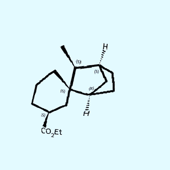 CCOC(=O)[C@H]1CCC[C@]2(C1)[C@@H]1CC[C@@H](C1)[C@@H]2C